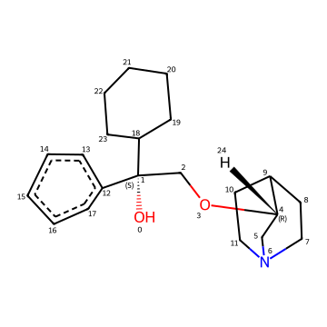 O[C@](CO[C@H]1CN2CCC1CC2)(c1ccccc1)C1CCCCC1